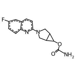 NC(=O)OC1C2CN(c3ccc4cc(F)ccc4n3)CC21